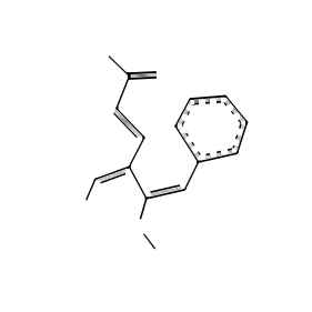 C/C=C(/C=C/C(=O)O)C(=C/c1ccccc1)\OC